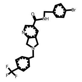 O=C(NCc1ccc(Br)cc1)c1cnc2c(c1)CN(Cc1ccc(C(F)(F)F)cc1)C2